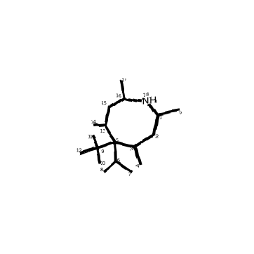 CC1CC(C)C(C(C)C)(C(C)(C)C)C(C)CC(C)N1